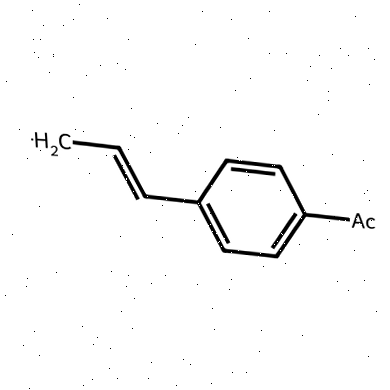 [CH2]C=Cc1ccc(C(C)=O)cc1